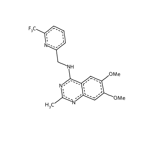 COc1cc2nc(C)nc(NCc3cccc(C(F)(F)F)n3)c2cc1OC